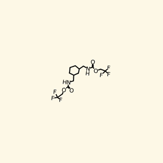 O=C(NCC1CCCC(CNC(=O)OCC(F)(F)F)C1)OCC(F)(F)F